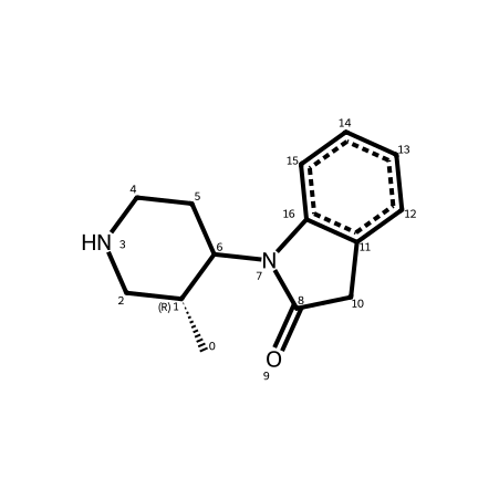 C[C@@H]1CNCCC1N1C(=O)Cc2ccccc21